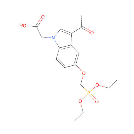 CCOP(=O)(COc1ccc2c(c1)c(C(C)=O)cn2CC(=O)O)OCC